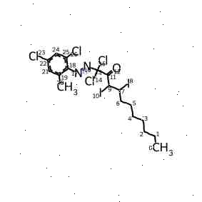 CCCCCCCC(I)C(I)C(=O)C(Cl)(Cl)/N=N/c1c(C)cc(Cl)cc1Cl